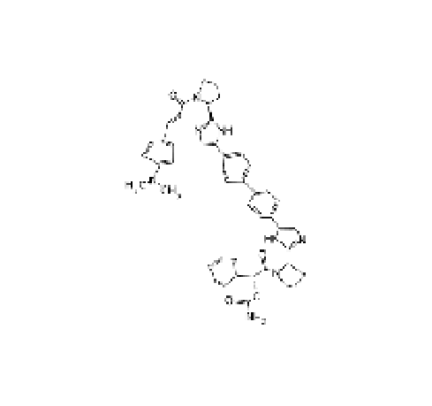 CN(C)c1ccc(/C=C/C(=O)N2CCC[C@H]2c2ncc(-c3ccc(-c4ccc(-c5cnc([C@@H]6CCCN6C(=O)[C@H](OC(N)=O)c6ccccc6)[nH]5)cc4)cc3)[nH]2)cc1